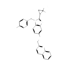 CCOC(=O)[C@H]1C(c2nc3cc(OCc4ccc5ccccc5n4)ccc3n2Cc2ccc(Br)cc2)C1(C)C